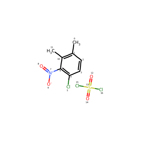 Cc1ccc(Cl)c([N+](=O)[O-])c1C.O=S(=O)(Cl)Cl